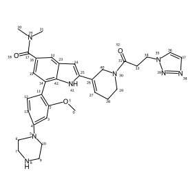 COc1cc(N2CCNCC2)ccc1-c1cc(C(=O)N(C)C)cc2cc(C3=CCCN(C(=O)CCn4ccnn4)C3)[nH]c12